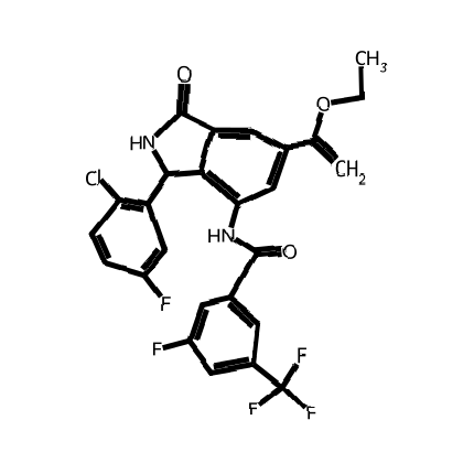 C=C(OCC)c1cc(NC(=O)c2cc(F)cc(C(F)(F)F)c2)c2c(c1)C(=O)NC2c1cc(F)ccc1Cl